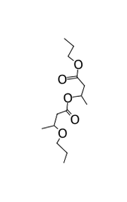 CCCOC(=O)CC(C)OC(=O)CC(C)OCCC